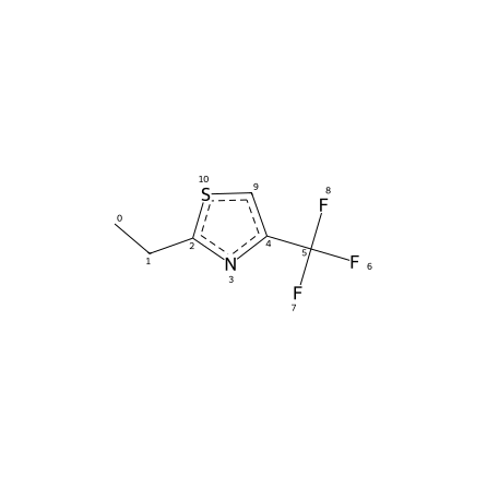 CCc1nc(C(F)(F)F)cs1